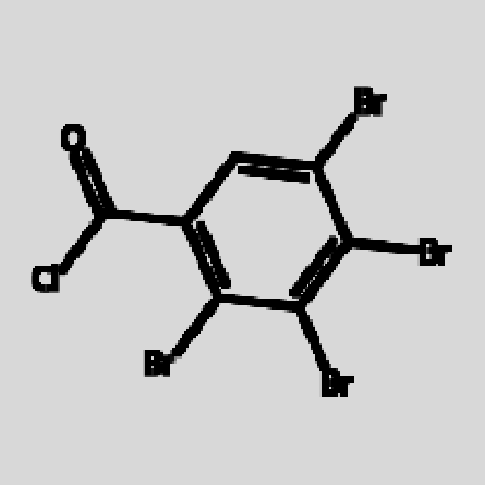 O=C(Cl)c1cc(Br)c(Br)c(Br)c1Br